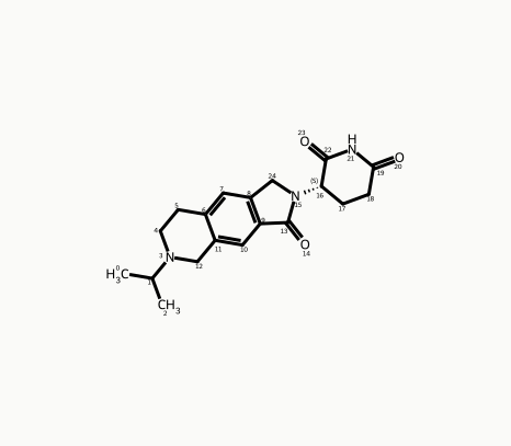 CC(C)N1CCc2cc3c(cc2C1)C(=O)N([C@H]1CCC(=O)NC1=O)C3